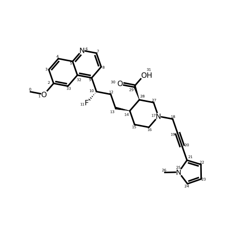 COc1ccc2nccc([C@@H](F)CC[C@@H]3CCN(CC#Cc4cccn4C)C[C@@H]3C(=O)O)c2c1